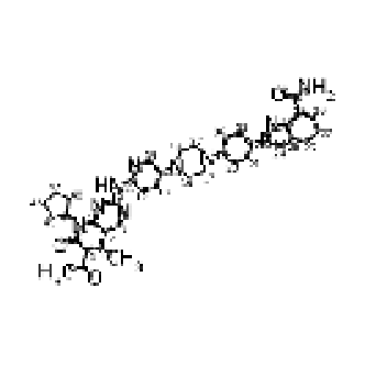 CC(=O)c1c(C)c2cnc(Nc3ccc(N4CCN(c5ccc(-n6cc7cccc(C(N)=O)c7n6)cc5)CC4)cn3)nc2n(C2CCCC2)c1=O